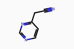 N#CCc1c[c]ncn1